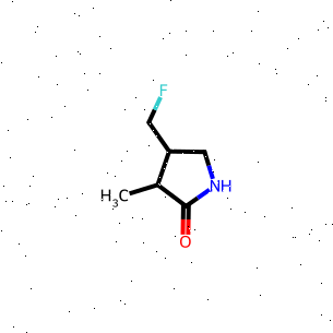 CC1C(=O)NCC1CF